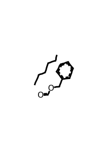 CCCCCC.O=COCc1ccccc1